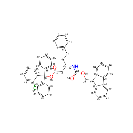 O=C(CC(CCc1ccccc1)NC(=O)OCC1c2ccccc2-c2ccccc21)OC(c1ccccc1)(c1ccccc1)c1ccccc1Cl